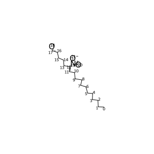 CCCCCCCCCCC/C=C(/CCCC[C]=O)[N+](=O)[O-]